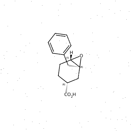 O=C(O)[C@@H]1CC[C@@H]2O[C@@]2(Cc2ccccc2)C1